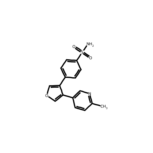 Cc1ccc(-c2cocc2-c2ccc(S(N)(=O)=O)cc2)cn1